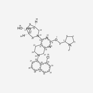 CN1CCCC1COc1nc2c(c(N3C[C@@H]4C[C@@H](O)[C@H](C3)N4)n1)CCN(c1cccc3cccc(Cl)c13)C2